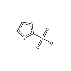 [O]S(=O)(=O)c1nccs1